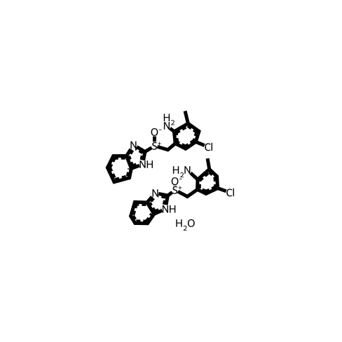 Cc1cc(Cl)cc(C[S+]([O-])c2nc3ccccc3[nH]2)c1N.Cc1cc(Cl)cc(C[S+]([O-])c2nc3ccccc3[nH]2)c1N.O